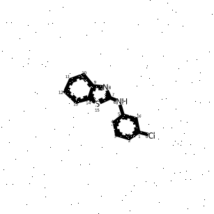 Clc1cccc(Nc2nc3ccccc3s2)c1